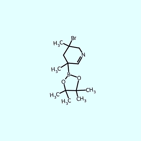 CC1(Br)CN=CC(C)(B2OC(C)(C)C(C)(C)O2)C1